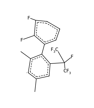 Cc1[c]c(C)c(-c2cccc(F)c2F)c(C(F)(C(F)(F)F)C(F)(F)F)c1